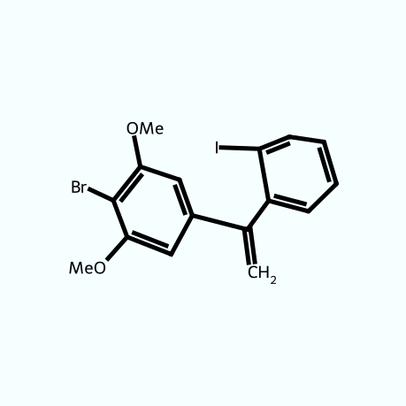 C=C(c1cc(OC)c(Br)c(OC)c1)c1ccccc1I